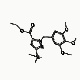 CCOC(=O)c1cc([Si](C)(C)C)nn1Cc1cc(OC)c(OC)c(OC)c1